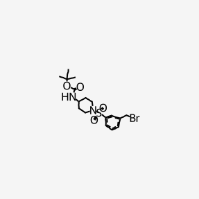 CC(C)(C)OC(=O)NC1CCN(S(=O)(=O)c2cccc(CBr)c2)CC1